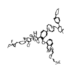 CC1(C)CCC(CN2CCN(c3ccc(C(=O)NS(=O)(=O)c4cnc(OCC5CC5(F)F)c(Cl)c4)c(Oc4cccc5c4cnn5COCC[Si](C)(C)C)c3)CC2)=C(c2ccc(Cl)cc2)C1